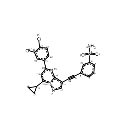 NS(=O)(=O)c1cccc(C#Cc2cnn3c(C4CC4)cc(-c4ccc(Cl)c(Cl)c4)nc23)c1